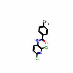 Cc1ccc(C(=O)Nc2ccc(Cl)nc2Cl)cc1